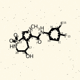 Cn1cc2c(c1C(=O)Nc1ccc(F)c(F)c1)CC(O)CNS2(=O)=O